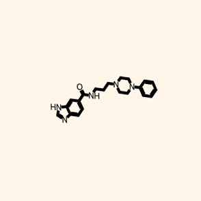 O=C(NCCCN1CCN(c2ccccc2)CC1)c1ccc2nc[nH]c2c1